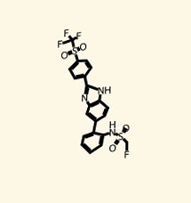 O=S(=O)(CF)Nc1ccccc1-c1ccc2[nH]c(-c3ccc(S(=O)(=O)C(F)(F)F)cc3)nc2c1